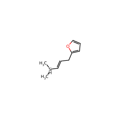 C[SiH](C)C=CCc1ccco1